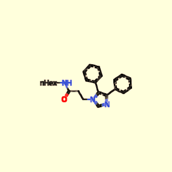 CCCCCCNC(=O)CCn1cnc(-c2ccccc2)c1-c1ccccc1